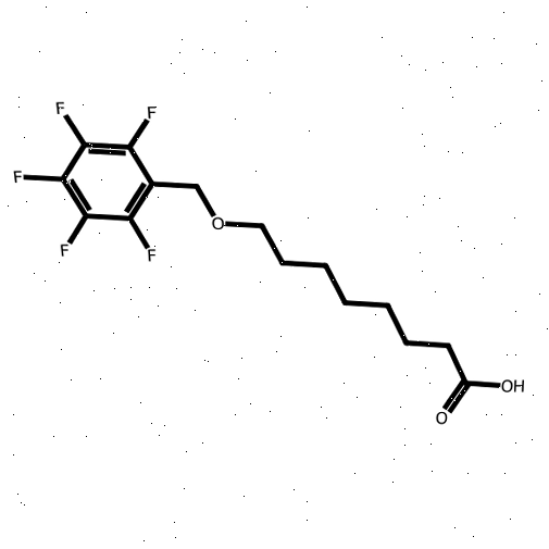 O=C(O)CCCCCCCOCc1c(F)c(F)c(F)c(F)c1F